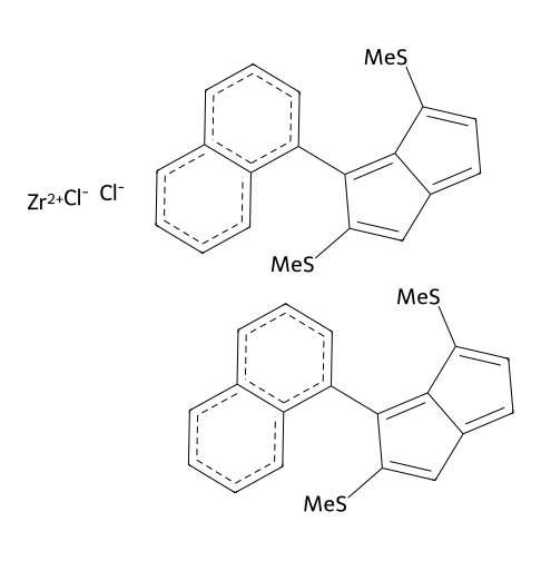 CSC1=CC=C2C=C(SC)C(c3cccc4ccccc34)=C21.CSC1=CC=C2C=C(SC)C(c3cccc4ccccc34)=C21.[Cl-].[Cl-].[Zr+2]